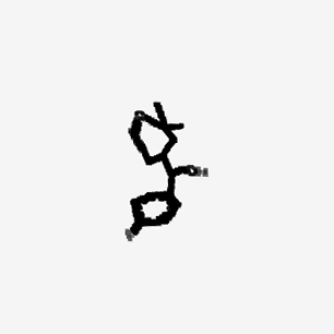 CC1(C)CC(C(O)c2ccc(F)cc2)CCO1